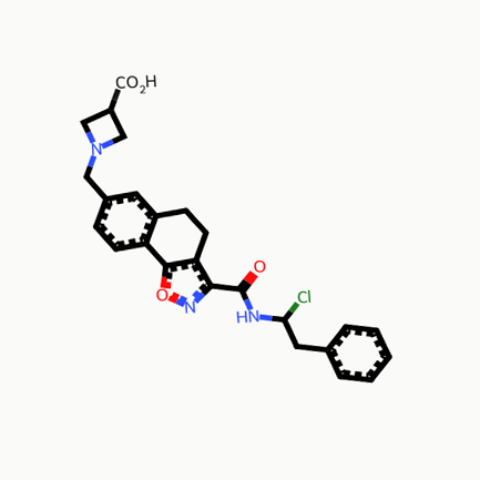 O=C(NC(Cl)Cc1ccccc1)c1noc2c1CCc1cc(CN3CC(C(=O)O)C3)ccc1-2